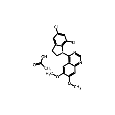 CC(=O)O.COc1cc2ncnc(N3CCc4cc(Cl)cc(Cl)c43)c2cc1OC